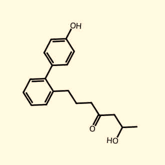 CC(O)CC(=O)CCCc1ccccc1-c1ccc(O)cc1